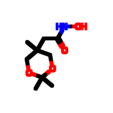 CC1(CC(=O)NO)COC(C)(C)OC1